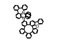 c1ccc(N(c2ccc3c4ccccc4c4ccccc4c4ccccc4c4c(ccc5c6ccccc6oc54)c3c2)c2cccc3c2N(c2ccccc2)c2ccccc2-c2ccccc2-3)cc1